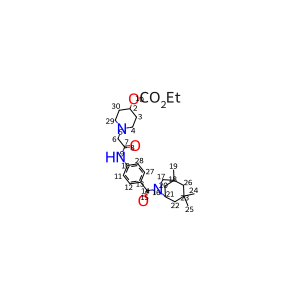 CCOC(=O)OC1CCN(CC(=O)Nc2ccc(C(=O)N3CC4(C)CC3CC(C)(C)C4)cc2)CC1